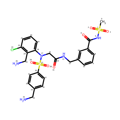 CS(=O)(=O)NC(=O)c1cccc(CNC(=O)CN(c2cccc(Cl)c2CN)S(=O)(=O)c2ccc(CN)cc2)c1